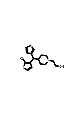 OCCN1CCC(C(c2ccsc2)c2ccsc2Cl)CC1